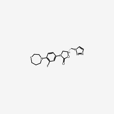 O=C1O[C@@H](Cn2ccnn2)CN1c1ccc(N2CCCSCC2)c(F)c1